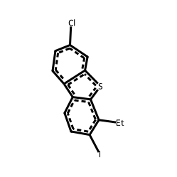 CCc1c(I)ccc2c1sc1cc(Cl)ccc12